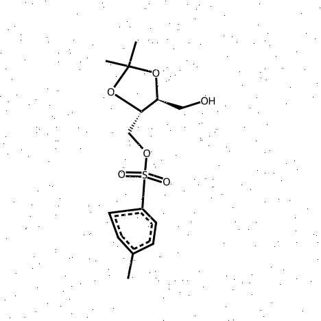 Cc1ccc(S(=O)(=O)OC[C@@H]2OC(C)(C)O[C@H]2CO)cc1